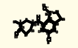 CN1C[C@H](Nc2nc(Cl)nc3c2[S+]([O-])CC3)CCC1=O